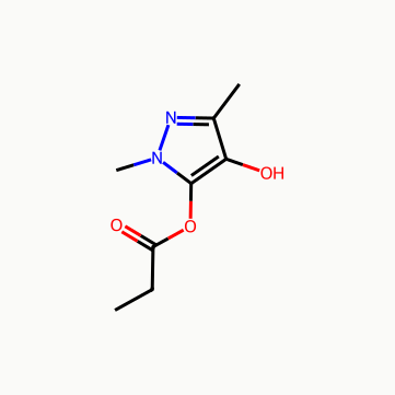 CCC(=O)Oc1c(O)c(C)nn1C